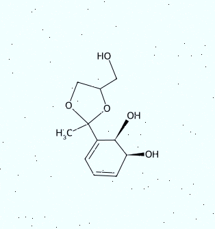 CC1(C2=CC=C[C@H](O)[C@@H]2O)OCC(CO)O1